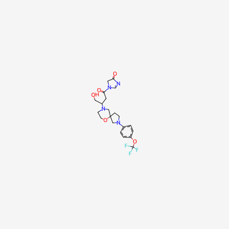 O=C1CN(C(=O)CC(CO)N2CCOC3(CCN(c4ccc(OC(F)(F)F)cc4)C3)C2)C=N1